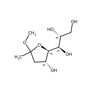 COC1(C)C[C@@H](O)[C@H]([C@H](O)[C@H](O)CO)O1